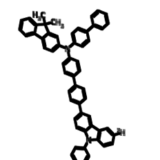 [2H]c1ccc2c(c1)c1cc(-c3ccc(-c4ccc(N(c5ccc(-c6ccccc6)cc5)c5ccc6c(c5)C(C)(C)c5ccccc5-6)cc4)cc3)ccc1n2-c1ccccc1